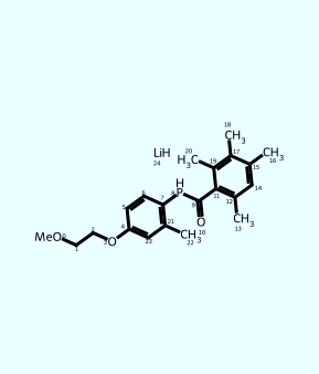 COCCOc1ccc(PC(=O)c2c(C)cc(C)c(C)c2C)c(C)c1.[LiH]